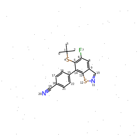 CC(C)(C)Sc1c(F)cc2cnsc2c1-c1ccc(C#N)cc1